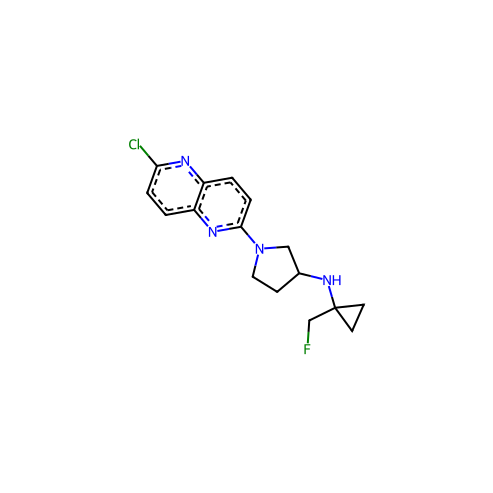 FCC1(NC2CCN(c3ccc4nc(Cl)ccc4n3)C2)CC1